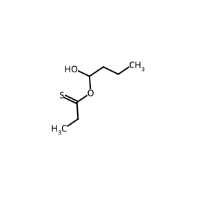 CCCC(O)OC(=S)CC